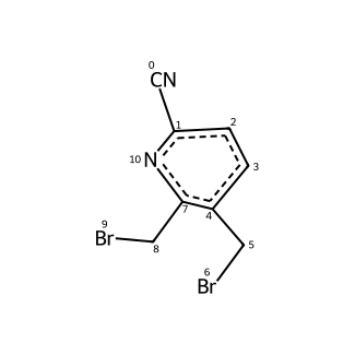 N#Cc1ccc(CBr)c(CBr)n1